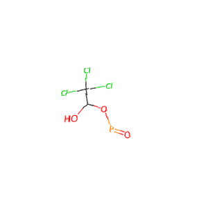 O=POC(O)C(Cl)(Cl)Cl